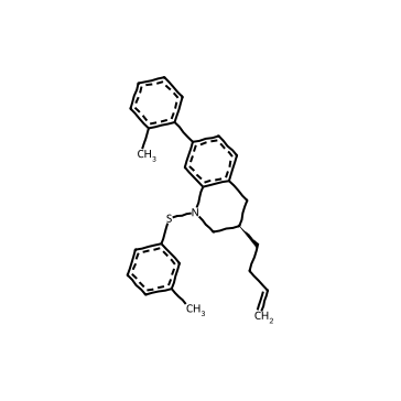 C=CCC[C@@H]1Cc2ccc(-c3ccccc3C)cc2N(Sc2cccc(C)c2)C1